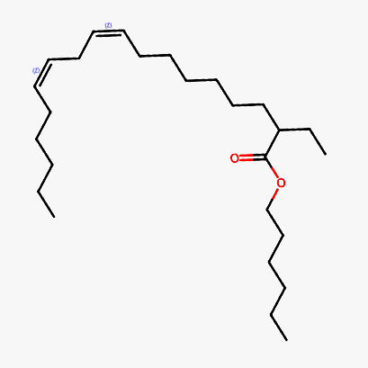 CCCCC/C=C\C/C=C\CCCCCCC(CC)C(=O)OCCCCCC